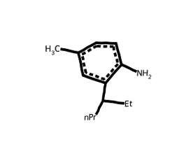 CCCC(CC)c1cc(C)ccc1N